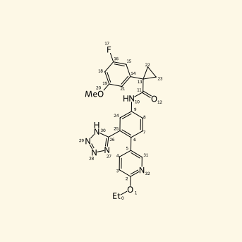 CCOc1ccc(-c2ccc(NC(=O)C3(c4cc(F)cc(OC)c4)CC3)cc2-c2nnn[nH]2)cn1